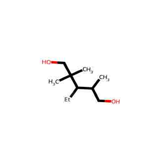 CCC(C(C)CO)C(C)(C)CO